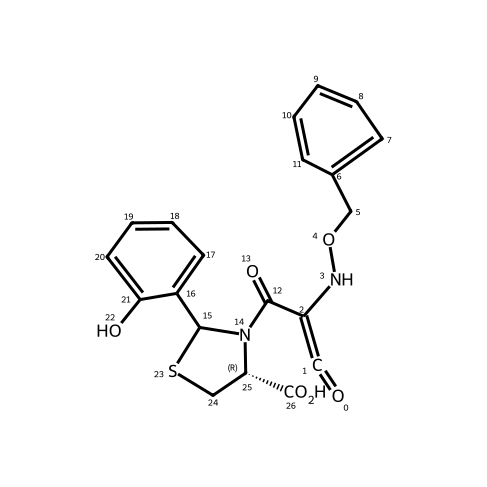 O=C=C(NOCc1ccccc1)C(=O)N1C(c2ccccc2O)SC[C@H]1C(=O)O